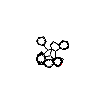 C1=CC(P(c2ccccc2)c2ccccc2)(P(c2ccccc2)c2ccccc2)C(c2cccc3ccccc23)c2ccccc21